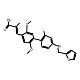 COc1cc(-c2ccc(NCc3ccco3)cc2F)c(OC)cc1/C=C(\C)C(=O)O